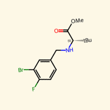 COC(=O)[C@@H](NCc1ccc(F)c(Br)c1)C(C)(C)C